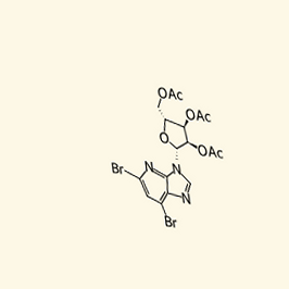 CC(=O)OC[C@H]1O[C@@H](n2cnc3c(Br)cc(Br)nc32)[C@H](OC(C)=O)[C@@H]1OC(C)=O